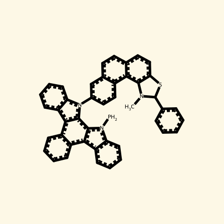 CN1c2c(ccc3ccc4cc(-n5c6ccccc6c6c7ccccc7c7c8ccccc8n(P)c7c65)ccc4c23)SC1c1ccccc1